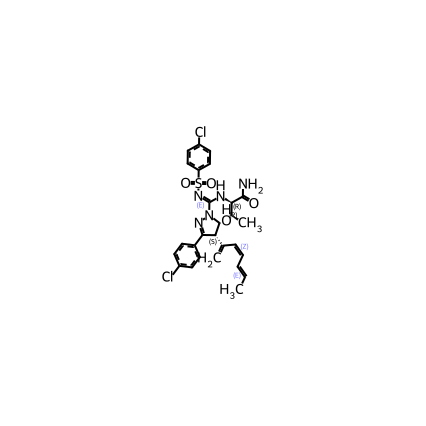 C=C(/C=C\C=C\C)[C@H]1CN(/C(=N/S(=O)(=O)c2ccc(Cl)cc2)N[C@@H](C(N)=O)[C@@H](C)O)N=C1c1ccc(Cl)cc1